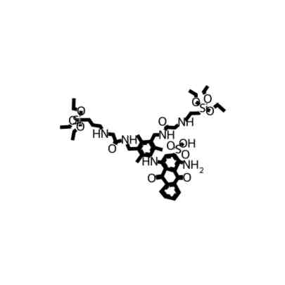 CCO[Si](CCCNCC(=O)NCc1c(C)c(CNC(=O)CNCCC[Si](OCC)(OCC)OCC)c(C)c(Nc2cc(S(=O)(=O)O)c(N)c3c2C(=O)c2ccccc2C3=O)c1C)(OCC)OCC